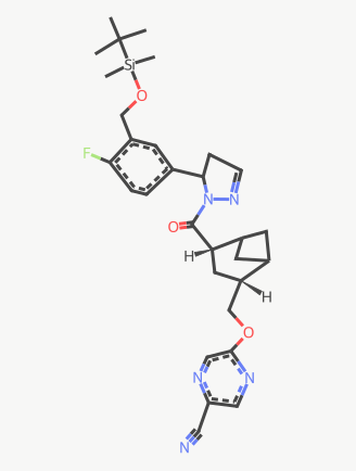 CC(C)(C)[Si](C)(C)OCc1cc(C2CC=NN2C(=O)[C@H]2C[C@@H](COc3cnc(C#N)cn3)C3CC2C3)ccc1F